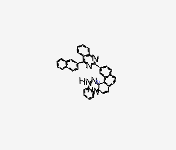 N=C1C=Cc2ccc3ccc(-c4nc(-c5ccc6ccccc6c5)c5ccccc5n4)cc3c2/C1=N/Nc1ccccc1